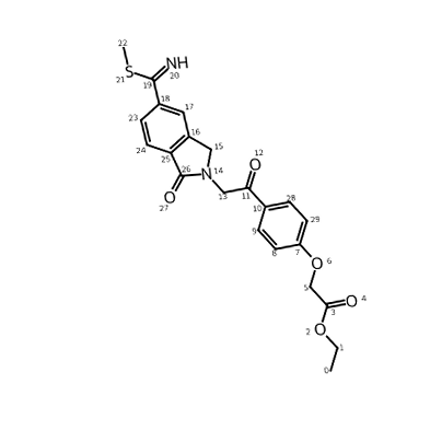 CCOC(=O)COc1ccc(C(=O)CN2Cc3cc(C(=N)SC)ccc3C2=O)cc1